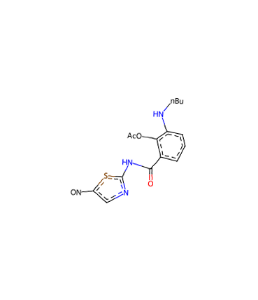 CCCCNc1cccc(C(=O)Nc2ncc(N=O)s2)c1OC(C)=O